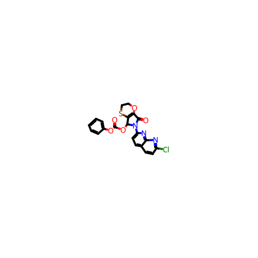 O=C(Oc1ccccc1)OC1C2=C(OCCS2)C(=O)N1c1ccc2ccc(Cl)nc2n1